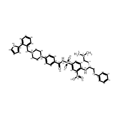 CN(C)CC[C@H](CSc1ccccc1)Nc1ccc(S(=O)(=O)NC(=O)c2ccc(N3CCN(Cc4ccccc4-c4cccs4)CC3)cc2)cc1[N+](=O)[O-]